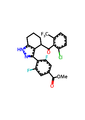 COC(=O)c1cc(F)c(-c2n[nH]c3c2C(C(=O)c2c(Cl)cccc2C(F)(F)F)CCC3)c(F)c1